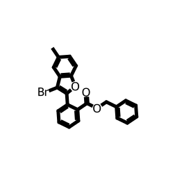 Cc1ccc2oc(-c3ccccc3C(=O)OCc3ccccc3)c(Br)c2c1